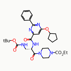 CCOC(=O)N1CCN(C(=O)[C@H](CNC(=O)OC(C)(C)C)NC(=O)c2cc(OC3CCCC3)nc(-c3ccccc3)n2)CC1